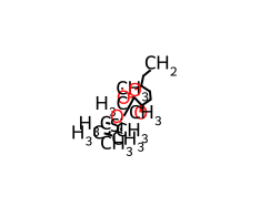 C=CCC1CCC(=O)[C@](OC)(C(C)(C)CO[Si](C)(C)C(C)(C)C)O1